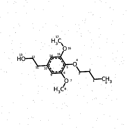 CCCCOc1c(OC)cc(CCO)cc1OC